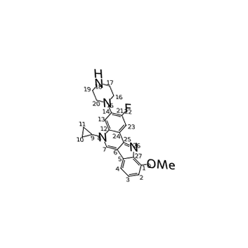 COc1cccc2c3cn(C4CC4)c4cc(N5CCNCC5)c(F)cc4c-3nc12